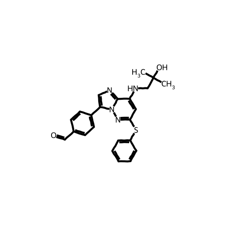 CC(C)(O)CNc1cc(Sc2ccccc2)nn2c(-c3ccc(C=O)cc3)cnc12